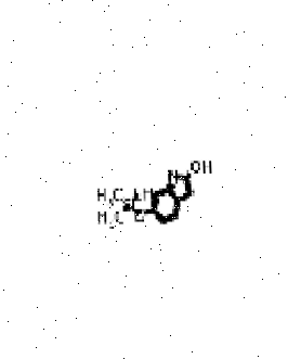 C[Si](C)(C)OC1=CC2=NC(O)=CC2=CC1